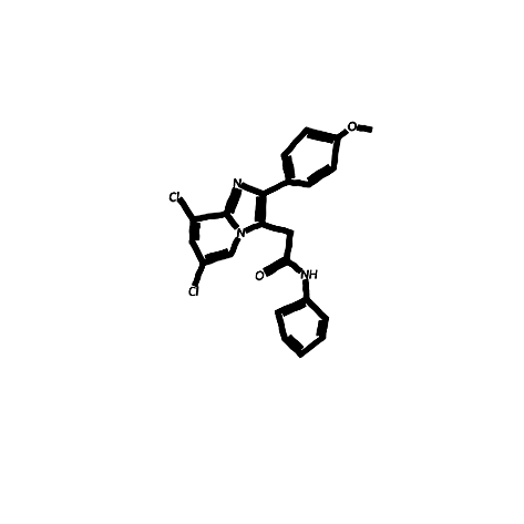 COc1ccc(-c2nc3c(Cl)cc(Cl)cn3c2CC(=O)Nc2ccccc2)cc1